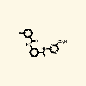 Cc1cccc(C(=O)Nc2cccc(C(C)Nc3cncc(C(=O)O)n3)c2)c1